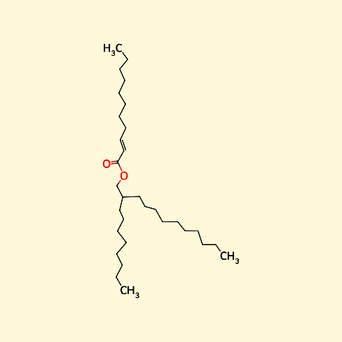 CCCCCCCCC=CC(=O)OCC(CCCCCCCC)CCCCCCCCCC